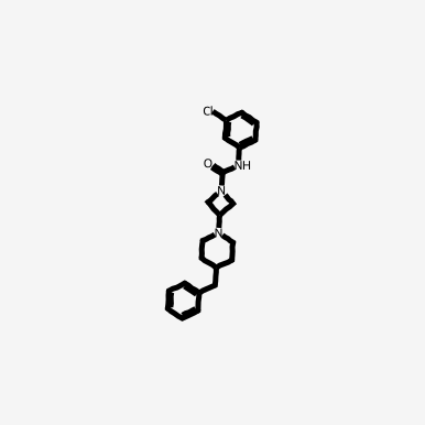 O=C(Nc1cccc(Cl)c1)N1CC(N2CCC(Cc3ccccc3)CC2)C1